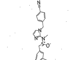 Cc1cc(Cl)cc(C[S+]([O-])N(C)c2nccn2Cc2ccc(C#N)cc2)c1